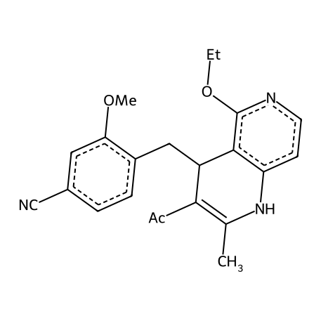 CCOc1nccc2c1C(Cc1ccc(C#N)cc1OC)C(C(C)=O)=C(C)N2